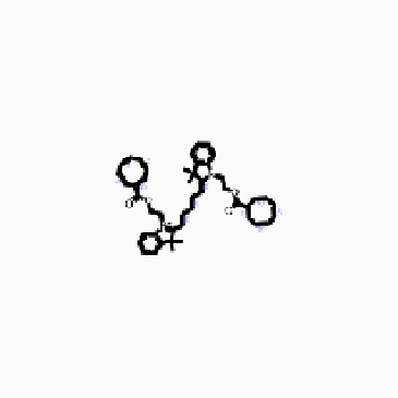 CC1(C)C(/C=C/C=C/C=C2/N(CCOC(=O)C3=C/C=C\C=C/C=C\3)c3ccccc3C2(C)C)=[N+](CCOC(=O)C2=C/C=C\C=C/C=C\2)c2ccccc21